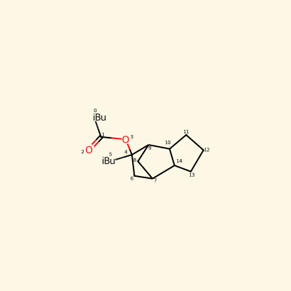 CCC(C)C(=O)OC1(C(C)CC)CC2CC1C1CCCC21